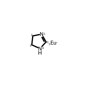 C1=NCCN1.[Eu]